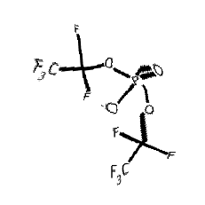 [O]P(=O)(OC(F)(F)C(F)(F)F)OC(F)(F)C(F)(F)F